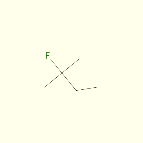 CCC(C)(C)F